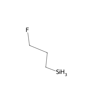 FCCC[SiH3]